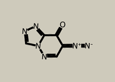 [N-]=[N+]=C1C=Nn2cnnc2C1=O